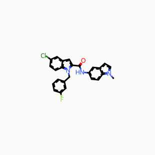 Cn1ccc2cc(NC(=O)c3cc4cc(Cl)ccc4n3Cc3cccc(F)c3)ccc21